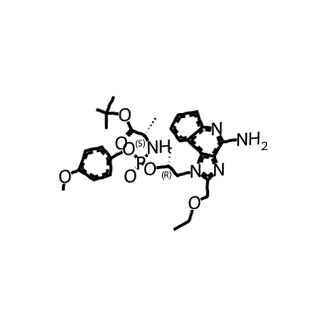 CCOCc1nc2c(N)nc3ccccc3c2n1C[C@@H](C)OP(=O)(N[C@@H](C)C(=O)OC(C)(C)C)Oc1ccc(OC)cc1